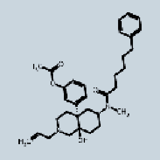 C=CCN1CC[C@@]2(c3cccc(OC(C)=O)c3)C[C@@H](N(C)C(=O)CCCCCc3ccccc3)CC[C@]2(O)C1